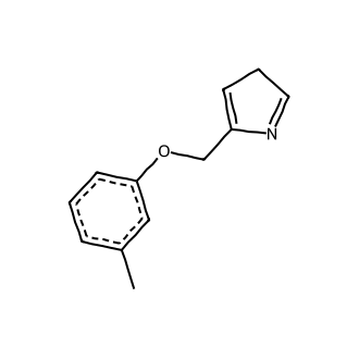 Cc1cccc(OCC2=CCC=N2)c1